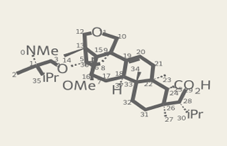 CN[C@](C)(CO[C@H]1[C@H](OC)C[C@@]23COC[C@]1(C)[C@@H]2CC[C@H]1C3=CC[C@@]2(C)[C@H](C(=O)O)[C@@](C)([C@H](C)C(C)C)CC[C@]12C)C(C)C